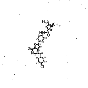 Cc1cc(C(=O)Nc2ccc(-c3cc4c(s3)c(=O)ncn4Cc3ccc(Cl)cc3)cc2)nn1C